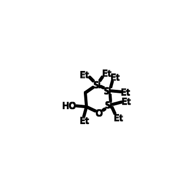 CCC1(O)C[Si](CC)(CC)[Si](CC)(CC)[Si](CC)(CC)O1